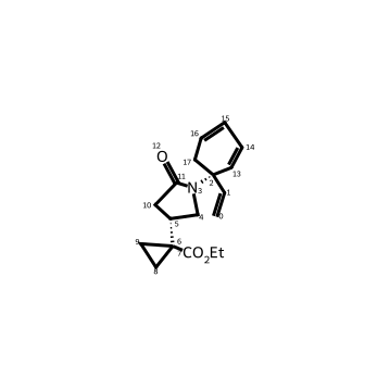 C=C[C@]1(N2C[C@H](C3(C(=O)OCC)CC3)CC2=O)C=CC=CC1